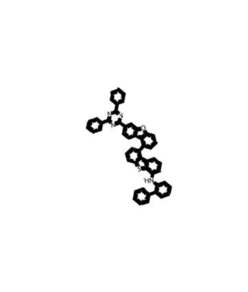 c1ccc(-c2nc(-c3ccccc3)nc(-c3ccc4c(c3)oc3cccc(-c5cccc6sc7c(Nc8ccccc8-c8ccccc8)cccc7c56)c34)n2)cc1